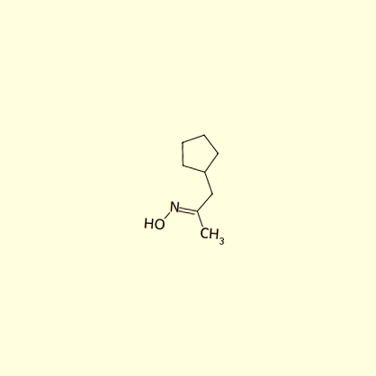 CC(CC1CCCC1)=NO